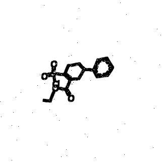 CCOC(=O)C1=C(S(=O)(=O)Cl)CCC(c2ccccc2)C1